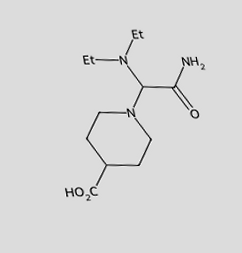 CCN(CC)C(C(N)=O)N1CCC(C(=O)O)CC1